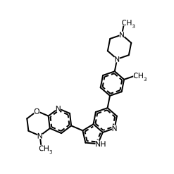 Cc1cc(-c2cnc3[nH]cc(-c4cnc5c(c4)N(C)CCO5)c3c2)ccc1N1CCN(C)CC1